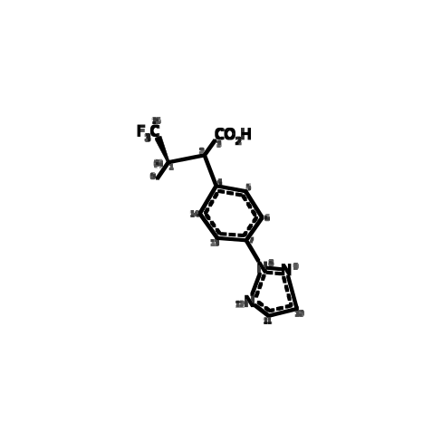 C[C@H](C(C(=O)O)c1ccc(-n2nccn2)cc1)C(F)(F)F